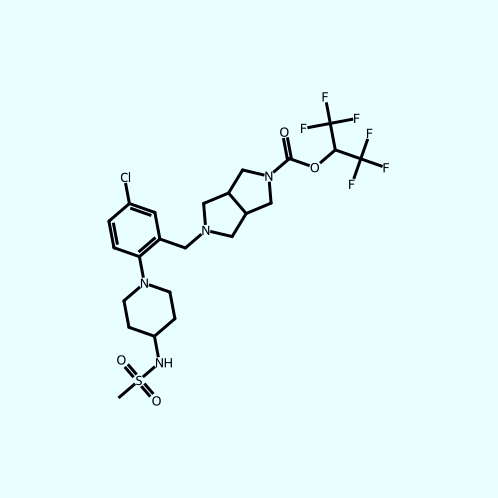 CS(=O)(=O)NC1CCN(c2ccc(Cl)cc2CN2CC3CN(C(=O)OC(C(F)(F)F)C(F)(F)F)CC3C2)CC1